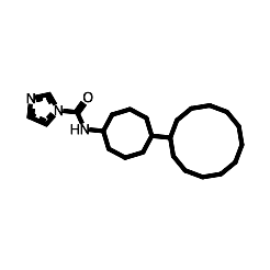 O=C(NC1CCCC(C2CCCCCCCCCCC2)CCC1)n1ccnc1